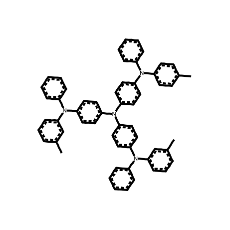 Cc1ccc(N(c2ccccc2)c2ccc(N(c3ccc(N(c4ccccc4)c4cccc(C)c4)cc3)c3ccc(N(c4ccccc4)c4cccc(C)c4)cc3)cc2)cc1